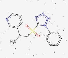 CC(CS(=O)(=O)c1nnnn1-c1ccccc1)c1cccnc1